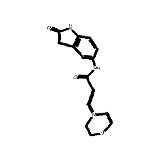 O=C(CCN1CCOCC1)Nc1ccc2c(c1)CC(=O)N2